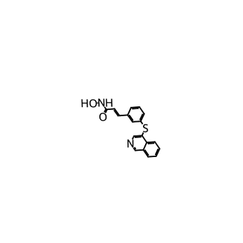 O=C(/C=C/c1cccc(Sc2cncc3ccccc23)c1)NO